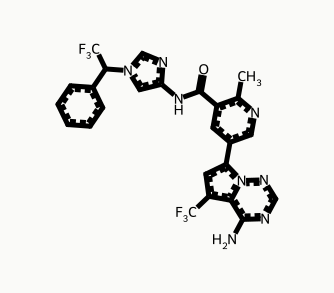 Cc1ncc(-c2cc(C(F)(F)F)c3c(N)ncnn23)cc1C(=O)Nc1cn(C(c2ccccc2)C(F)(F)F)cn1